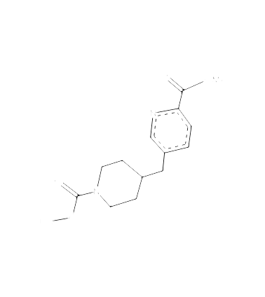 COC(=O)c1ccc(CC2CCN(C(=O)OC(C)(C)C)CC2)cn1